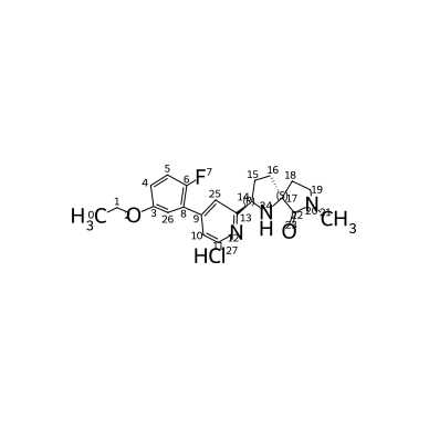 CCOc1ccc(F)c(-c2ccnc([C@H]3CC[C@@]4(CCN(C)C4=O)N3)c2)c1.Cl